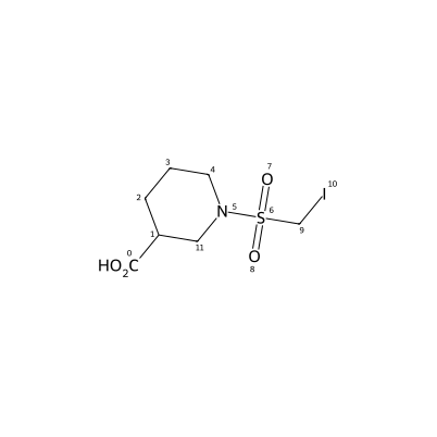 O=C(O)C1CCCN(S(=O)(=O)CI)C1